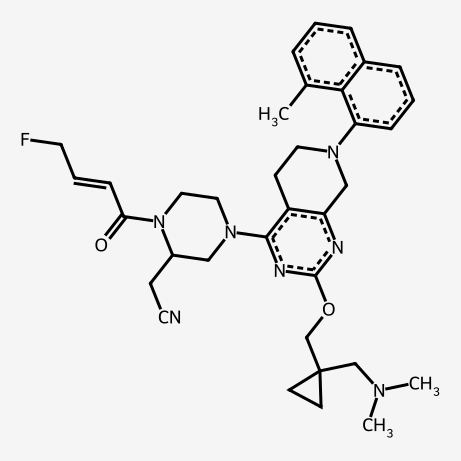 Cc1cccc2cccc(N3CCc4c(nc(OCC5(CN(C)C)CC5)nc4N4CCN(C(=O)/C=C/CF)C(CC#N)C4)C3)c12